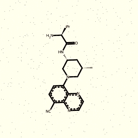 CC(C)[C@H](N)C(=O)N[C@@H]1C[C@H](C)CN(c2ccc(C#N)c3nccnc23)C1